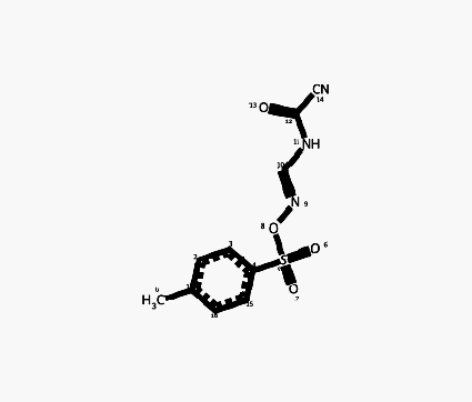 Cc1ccc(S(=O)(=O)ON=CNC(=O)C#N)cc1